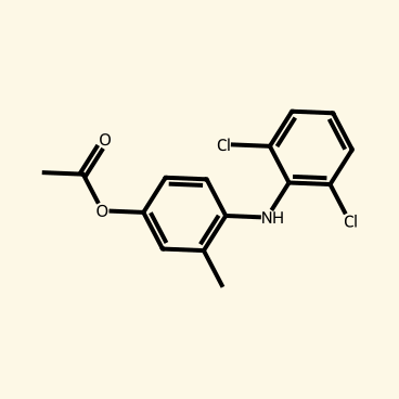 CC(=O)Oc1ccc(Nc2c(Cl)cccc2Cl)c(C)c1